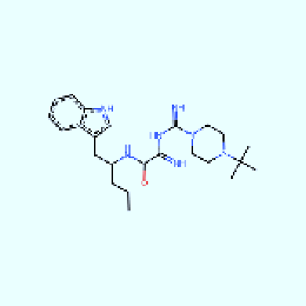 CCCC(Cc1c[nH]c2ccccc12)NC(=O)C(=N)NC(=N)N1CCN(C(C)(C)C)CC1